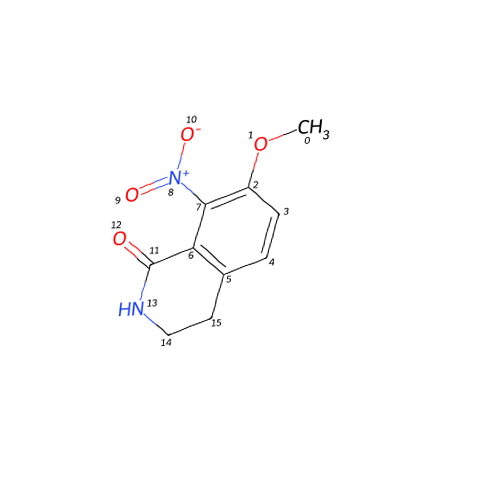 COc1ccc2c(c1[N+](=O)[O-])C(=O)NCC2